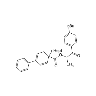 CCCCCCCC1(C(=O)OC(C)C(=O)c2ccc(CCCC)cc2)C=CC(c2ccccc2)=CC1